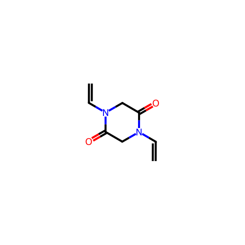 C=CN1CC(=O)N(C=C)CC1=O